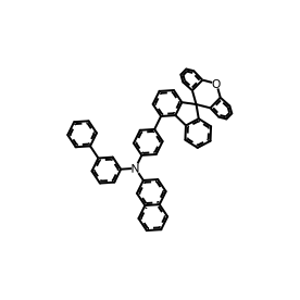 c1ccc(-c2cccc(N(c3ccc(-c4cccc5c4-c4ccccc4C54c5ccccc5Oc5ccccc54)cc3)c3ccc4ccccc4c3)c2)cc1